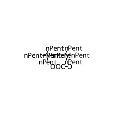 CCCCC[N+](CCCCC)(CCCCC)CCCCC.CCCCC[N+](CCCCC)(CCCCC)CCCCC.O=C([O-])[O-]